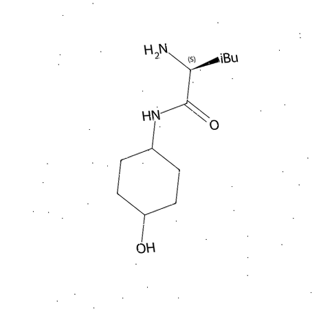 CCC(C)[C@H](N)C(=O)NC1CCC(O)CC1